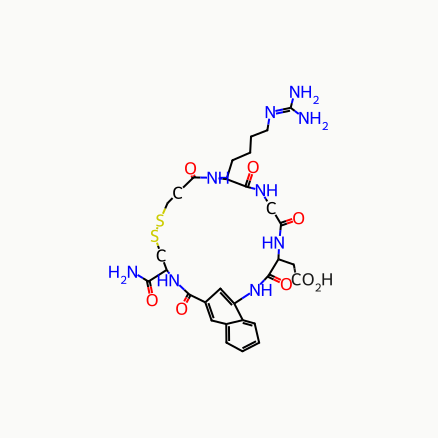 NC(=O)C1CSSCCC(=O)NC(CCCCN=C(N)N)C(=O)NCC(=O)NC(CC(=O)O)C(=O)Nc2cc(cc3ccccc23)C(=O)N1